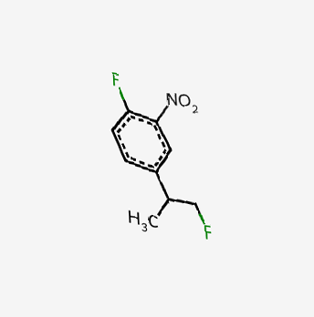 C[C](CF)c1ccc(F)c([N+](=O)[O-])c1